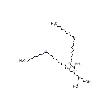 CCCCCCCC/C=C\CCCCCCCCOC(COCCN(CCO)CCO)C(OCCCCCCCC/C=C\CCCCCCCC)C(N)=S